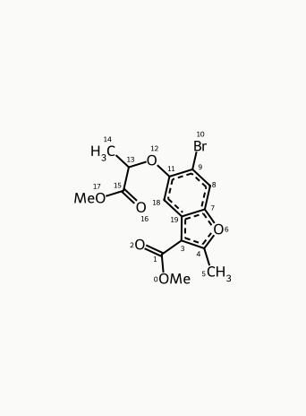 COC(=O)c1c(C)oc2cc(Br)c(OC(C)C(=O)OC)cc12